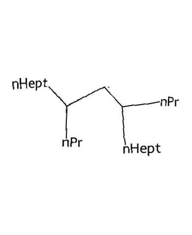 CCCCCCCC([CH]C(CCC)CCCCCCC)CCC